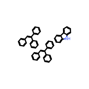 C(=C(c1ccccc1)c1ccccc1)c1ccccc1.C(=C(c1ccccc1)c1ccccc1)c1ccccc1.c1ccc2c(c1)[nH]c1ccccc12